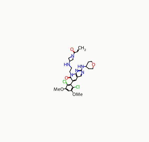 C=CC(=O)N1CC(NCCn2c(=O)c(-c3c(Cl)c(OC)cc(OC)c3Cl)cc3cnc(NC4CCOCC4)nc32)C1